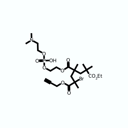 C#CCOC(=O)C(C)(Br)CC(C)(CC(C)(C)C(=O)OCC)C(=O)OCCOP(=O)(O)OCCN(C)C